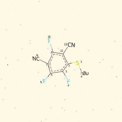 CCCCSc1c(F)c(F)c(C#N)c(F)c1C#N